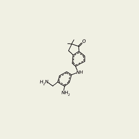 CC1(C)Cc2cc(Nc3ccc(CN)c(N)c3)ccc2C1=O